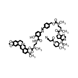 COc1ccc2cc3[n+](cc2c1OC(=O)N(C)CCNC(=O)c1cc(/N=N/c2ccc(COC(=O)N(C)CCN(C)C(=O)N4CCc5c4ncnc5N(C)[C@H]4CN(C(=O)CC#N)CC[C@H]4C)cc2)ccc1O)CCc1cc2c(cc1-3)OCO2